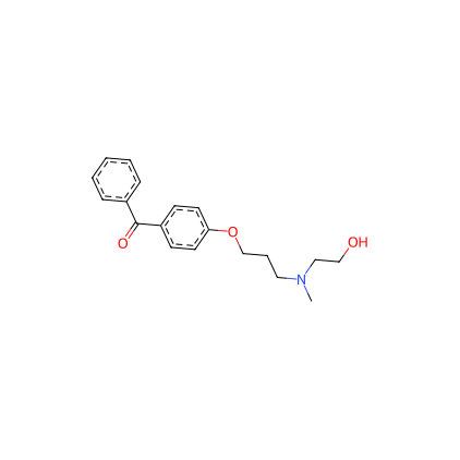 CN(CCO)CCCOc1ccc(C(=O)c2ccccc2)cc1